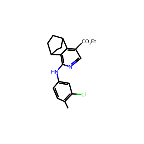 CCOC(=O)c1cnc(Nc2ccc(C)c(Cl)c2)c2c1C1CCC2CC1